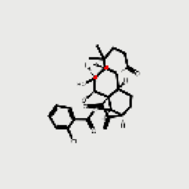 C=C1C(=O)[C@]23[C@H](OC(=O)c4ccccc4Cl)[C@H]1CC[C@H]2[C@@]12CO[C@]3(O)[C@@H](O)[C@@H]1C(C)(C)CCC2=O